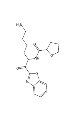 NCCCCC(NC(=O)C1CCCO1)C(=O)c1nc2ccccc2s1